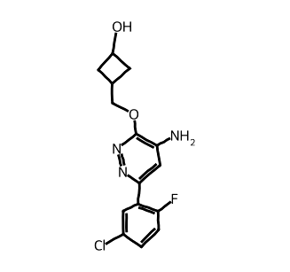 Nc1cc(-c2cc(Cl)ccc2F)nnc1OCC1CC(O)C1